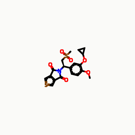 COc1ccc([C@H](CS(C)(=O)=O)N2C(=O)c3cscc3C2=O)cc1OC1CC1